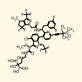 CSN(C(=O)NCCCC(O)(P(O)O)P(O)O)c1nn(CC(F)(F)F)c2c(-c3ccc(C#CC(C)(C)[S+](C)[O-])nc3C(Cc3cc(F)cc(F)c3)NC(=O)Cn3nc(C(F)(F)F)c4c3C(F)(F)C[C@@H]4C)ccc(Cl)c12